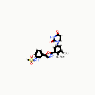 COc1c(-c2ncc(-c3cccc(NS(C)(=O)=O)c3)o2)cc(N2CCC(=O)NC2=O)cc1C(C)(C)C